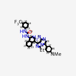 CCc1nc(-c2ccc(NC(=O)Nc3cccc(C(F)(F)F)c3)c3ccccc23)c2c(N)ncc(C3=CCC(NC)CC3)n12